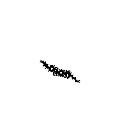 CCCCCc1cnc(-c2ccc(C(=O)O[C@H]3CC[C@H](CCCCC)CC3)cc2)nc1